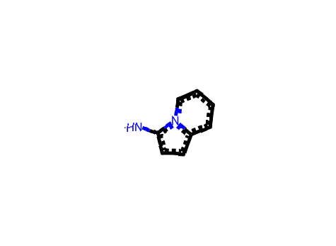 [NH]c1ccc2ccccn12